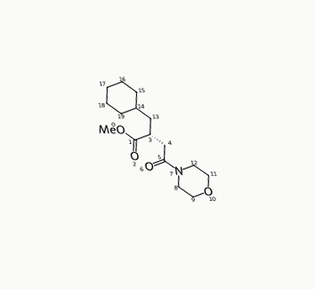 COC(=O)[C@@H](CC(=O)N1CCOCC1)CC1CCCCC1